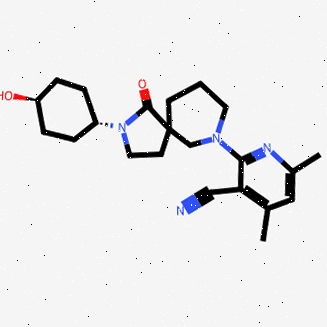 Cc1cc(C)c(C#N)c(N2CCCC3(CCN([C@H]4CC[C@H](O)CC4)C3=O)C2)n1